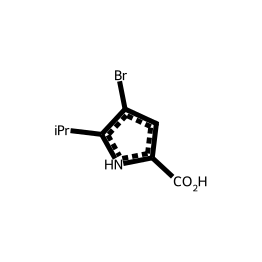 CC(C)c1[nH]c(C(=O)O)cc1Br